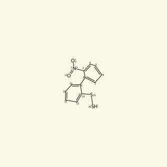 O=[N+]([O-])c1ccccc1-c1ccccc1SS